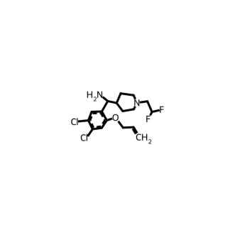 C=CCOc1cc(Cl)c(Cl)cc1C(N)C1CCN(CC(F)F)CC1